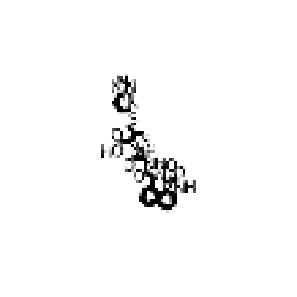 O=CN(C(C(=O)NC1C(=O)N2C(C(=O)O)=C(CSc3ccc4nnnn4n3)CS[C@@H]12)c1ccccc1)n1c(=O)[nH]c2ccccc21